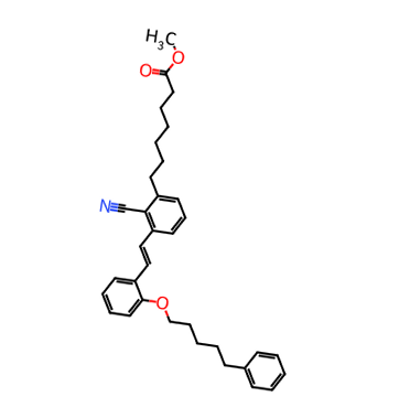 COC(=O)CCCCCCc1cccc(/C=C/c2ccccc2OCCCCCc2ccccc2)c1C#N